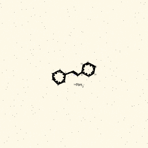 C(=C\c1ccccc1)/c1ccccc1.[PbH2]